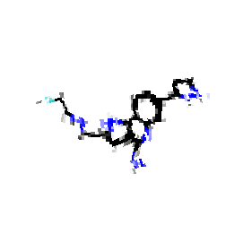 Nc1nc2cc(-c3cc[nH]n3)ccc2c2[nH]c(CNCCF)cc12